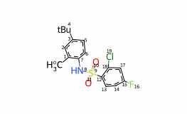 Cc1cc(C(C)(C)C)ccc1NS(=O)(=O)c1ccc(F)cc1Cl